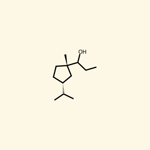 CCC(O)[C@@]1(C)CC[C@@H](C(C)C)C1